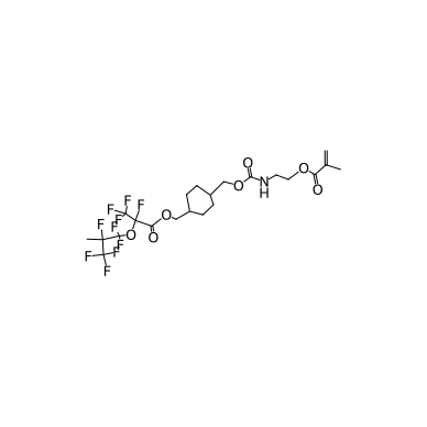 C=C(C)C(=O)OCCNC(=O)OCC1CCC(COC(=O)C(F)(OC(F)(F)C(C)(F)C(F)(F)F)C(F)(F)F)CC1